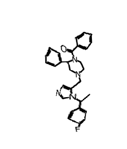 CC(c1ccc(F)cc1)n1cncc1CN1CCN(C(=O)c2ccccc2)C(c2ccccc2)C1